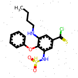 CCCCNc1cc(C(=S)Cl)cc(N[SH](=O)=O)c1Oc1ccccc1